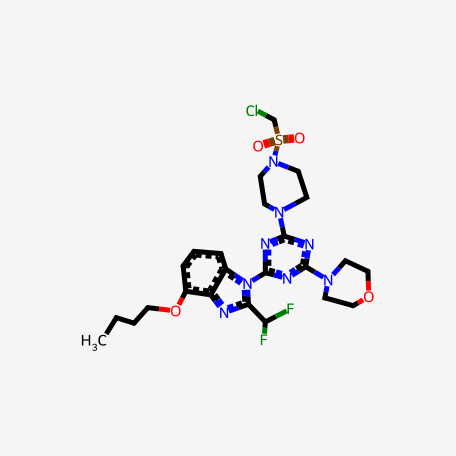 CCCCOc1cccc2c1nc(C(F)F)n2-c1nc(N2CCOCC2)nc(N2CCN(S(=O)(=O)CCl)CC2)n1